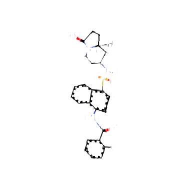 Cc1ccccc1C(=O)Nc1ccc(S(=O)(=O)NC2CCN3C(=O)CC[C@@H]3C2)c2ccccc12